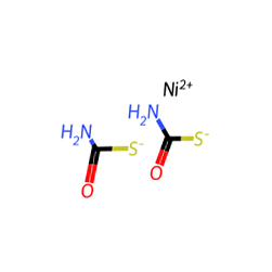 NC(=O)[S-].NC(=O)[S-].[Ni+2]